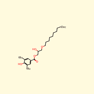 CCCCCCCCCCCCCCCCCCOCC(O)COC(=O)c1cc(C(C)(C)C)c(O)c(C(C)(C)C)c1